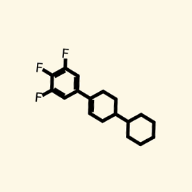 Fc1cc(C2=CCC(C3CCCCC3)CC2)cc(F)c1F